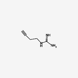 C#CCCNC(=N)N